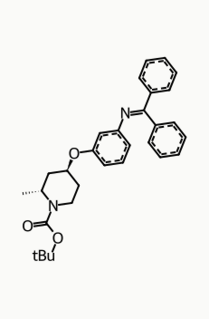 C[C@@H]1C[C@@H](Oc2cccc(N=C(c3ccccc3)c3ccccc3)c2)CCN1C(=O)OC(C)(C)C